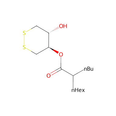 CCCCCCC(CCCC)C(=O)O[C@H]1CSSC[C@@H]1O